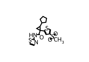 CS(=O)(=O)c1csc(C2(C(=O)Nc3nccs3)CC2C2CCCC2)c1